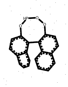 c1ccc2c3c(ccc2c1)OOPOc1ccc2ccccc2c1-3